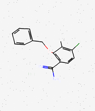 Cl.N#Cc1c(F)ccc(C(=N)N)c1OCc1ccccc1